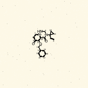 C=CC1(N2CNn3ccc(=O)c(OCc4ccccc4)c3C2=O)CC1